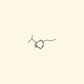 CCCc1ccnc(C(C)C)c1